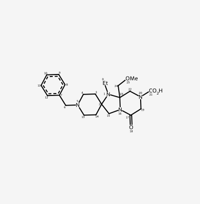 CCN1C2(CCN(Cc3ccccc3)CC2)CN2C(=O)CN(C(=O)O)CC21COC